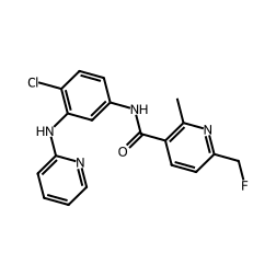 Cc1nc(CF)ccc1C(=O)Nc1ccc(Cl)c(Nc2ccccn2)c1